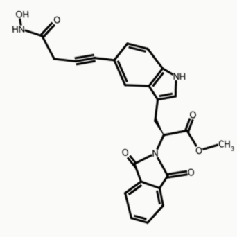 COC(=O)[C@H](Cc1c[nH]c2ccc(C#CCC(=O)NO)cc12)N1C(=O)c2ccccc2C1=O